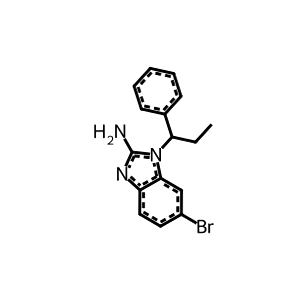 CCC(c1ccccc1)n1c(N)nc2ccc(Br)cc21